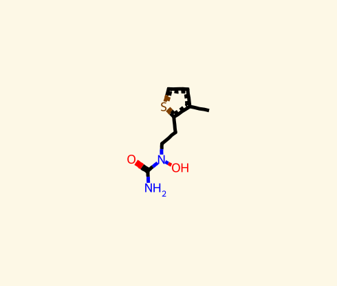 Cc1ccsc1CCN(O)C(N)=O